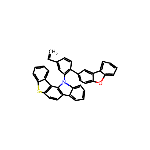 C=Cc1ccc(-c2ccc3oc4ccccc4c3c2)c(-n2c3ccccc3c3ccc4sc5ccccc5c4c32)c1